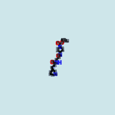 CC(C)(C)OC(=O)N1CCC(=NOCCNC(=O)/C=C/c2cccnc2)CC1